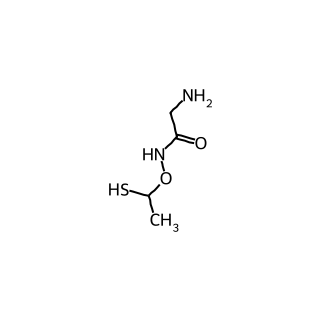 CC(S)ONC(=O)CN